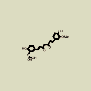 COc1cc(/C=C/C(=O)CC(=O)/C=C/c2ccc(O)c(OC(O)O)c2)ccc1O